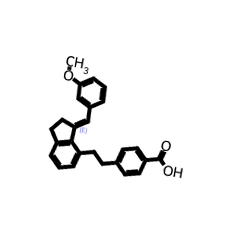 COc1cccc(/C=C2\CCc3cccc(CCc4ccc(C(=O)O)cc4)c32)c1